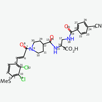 CSc1ccc(C=CC(=O)N2CCC(C(=O)N[C@@H](CNC(=O)c3ccc(C#N)cc3)C(=O)O)CC2)c(Cl)c1Cl